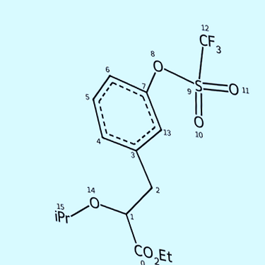 CCOC(=O)C(Cc1cccc(OS(=O)(=O)C(F)(F)F)c1)OC(C)C